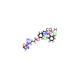 O=C(NC(Cc1ccc(OCCCCNC2=NCCO2)cc1)C(=O)O)c1c(Cl)cccc1Cl